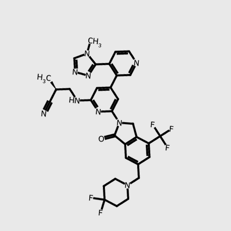 C[C@H](C#N)CNc1cc(-c2cnccc2-c2nncn2C)cc(N2Cc3c(cc(CN4CCC(F)(F)CC4)cc3C(F)(F)F)C2=O)n1